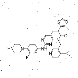 Cc1ncsc1-c1cc2cnc(Nc3ccc(N4CCNCC4)c(F)c3)nc2n(Cc2cnccc2C2CC2)c1=O